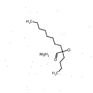 CCCCCCCCC(Cl)(C=O)CCCC.[MgH2]